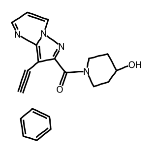 C#Cc1c(C(=O)N2CCC(O)CC2)nn2cccnc12.c1ccccc1